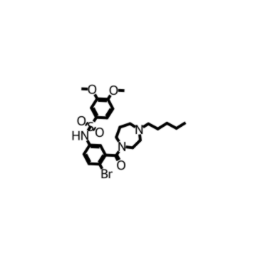 CCCCCN1CCCN(C(=O)c2cc(NS(=O)(=O)c3ccc(OC)c(OC)c3)ccc2Br)CC1